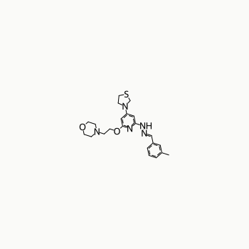 Cc1cccc(/C=N/Nc2cc(N3CCSC3)cc(OCCN3CCOCC3)n2)c1